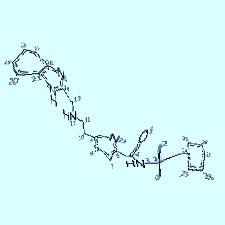 CC(C)(NC(=O)c1csc(CCNCc2nc3ccccc3[nH]2)n1)c1ccccc1